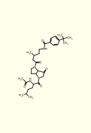 CC(=O)NC(CCC(C)C)C(=O)N1CC(=O)C2C1CCN2C(=O)CC(C)CCNC(=O)c1ccc(C(C)(C)C)cc1